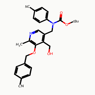 Cc1ncc(CN(C(=O)OC(C)(C)C)c2ccc(C#N)cc2)c(CO)c1OCc1ccc(C#N)cc1